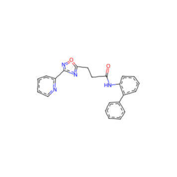 O=C(CCc1nc(-c2ccccn2)no1)Nc1ccccc1-c1ccccc1